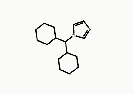 c1cn(C(C2CCCCC2)C2CCCCC2)cn1